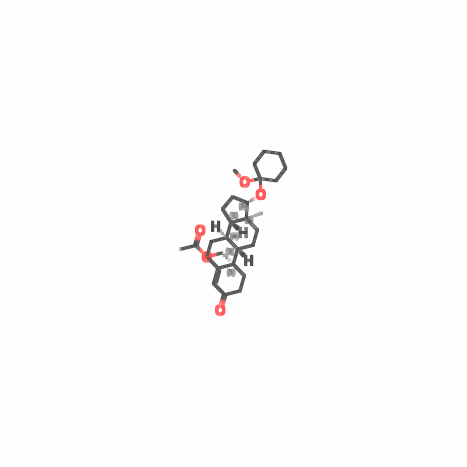 COC1(O[C@H]2CC[C@H]3[C@@H]4CCC5=CC(=O)CC[C@]5(COC(C)=O)[C@H]4CC[C@]23C)CCCCC1